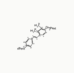 CCCCCOc1ccc(C=Cc2ccc(CCCCC)cc2)c(C)c1C